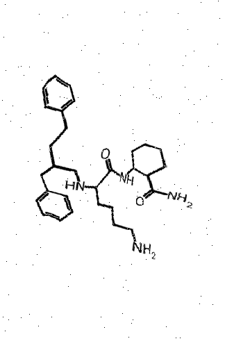 NCCCCC(NCC(CCc1ccccc1)Cc1ccccc1)C(=O)NC1CCCCC1C(N)=O